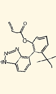 C=CC(=O)Oc1cccc(C(C)(C)C)c1-c1cccc2[nH]nnc12